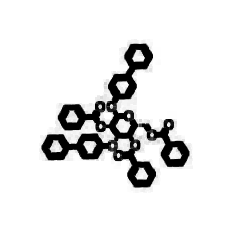 O=C(OC[C@H]1O[C@H](Oc2ccc(-c3ccccc3)cc2)[C@@H](OC(=O)c2ccccc2)[C@@H](Oc2ccc(-c3ccccc3)cc2)[C@@H]1OC(=O)c1ccccc1)c1ccccc1